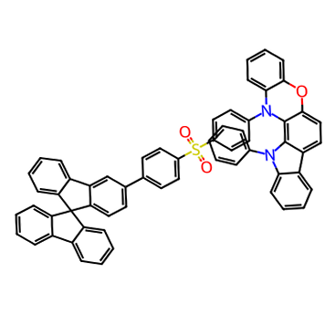 O=S(=O)(c1ccc(-c2ccc3c(c2)-c2ccccc2C32c3ccccc3-c3ccccc32)cc1)c1ccc(N2c3ccccc3Oc3ccc4c5ccccc5n(-c5ccccc5)c4c32)cc1